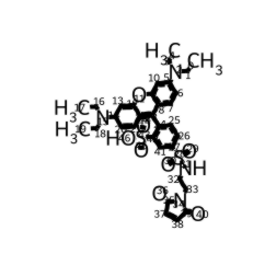 CCN(CC)c1ccc2c(c1)OC1=CC(N(CC)CC)C=CC1=C2c1ccc(S(=O)(=O)NCCN2C(=O)C=CC2=O)cc1S(=O)(=O)O